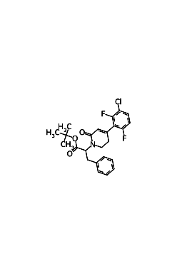 CC(C)(C)OC(=O)C(Cc1ccccc1)N1CCC(c2c(F)ccc(Cl)c2F)=CC1=O